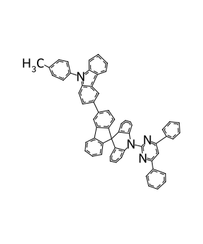 Cc1ccc(-n2c3ccccc3c3cc(-c4ccc5c(c4)-c4ccccc4C54c5ccccc5N(c5nc(-c6ccccc6)cc(-c6ccccc6)n5)c5ccccc54)ccc32)cc1